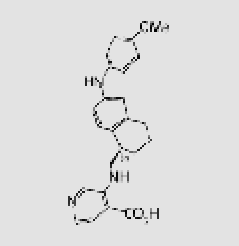 COc1ccc(Nc2ccc3c(c2)CCC[C@H]3CNc2cnccc2C(=O)O)cc1